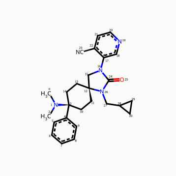 CN(C)[C@]1(c2ccccc2)CC[C@@]2(CC1)CN(c1cnccc1C#N)C(=O)N2CC1CC1